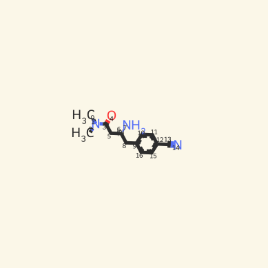 CN(C)C(=O)C[C@H](N)Cc1ccc(C#N)cc1